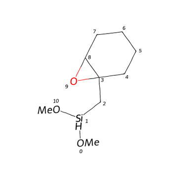 CO[SiH](CC12CCCCC1O2)OC